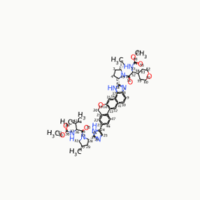 CC[C@H]1CC[C@@H](c2nc3ccc4cc5c(cc4c3[nH]2)OCc2cc(-c3cnc([C@@H]4C[C@H](C)CN4C(=O)C(NC(=O)OC)C(C)C)[nH]3)ccc2-5)N1C(=O)[C@@H](NC(=O)OC)C1CCOCC1